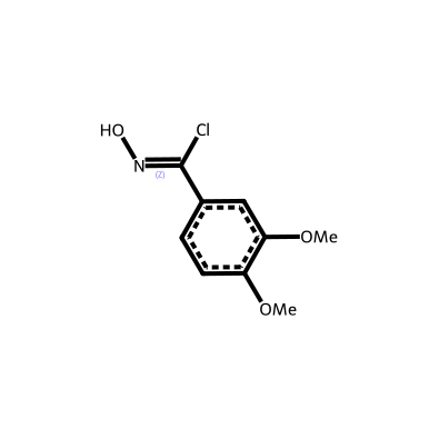 COc1ccc(/C(Cl)=N/O)cc1OC